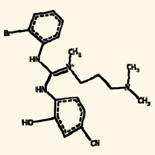 CN(C)CCC[N+](C)=C(Nc1ccc(C#N)cc1O)Nc1ccccc1Br